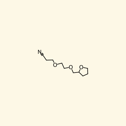 N#CCCOCCOCC1CCCO1